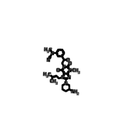 CC(C)=CCn1c(N2CCCC(N)C2)nc2c1c(=O)n(CC(=O)c1cccc(N(C)C#N)c1)c(=O)n2C